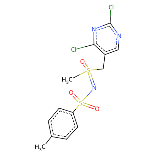 Cc1ccc(S(=O)(=O)N=S(C)(=O)Cc2cnc(Cl)nc2Cl)cc1